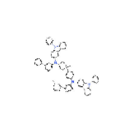 CC1C=C(c2cccc(N(c3ccc(C4(C)C=CC(N(c5cccc(-c6ccccc6)c5)c5ccc6c(c5)c5ccccc5n6-c5ccccc5)=CC4)cc3)c3ccc4c(c3)c3ccccc3n4-c3ccccc3)c2)C=CC1